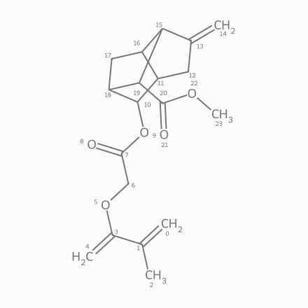 C=C(C)C(=C)OCC(=O)OC1C2CC(=C)C3C2CC1C3C(=O)OC